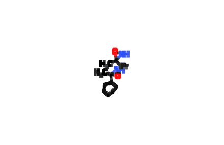 CC(C)C1(C)NO1.CC1(c2ccccc2)NO1